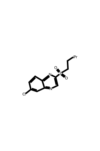 CC(C)CCS(=O)(=O)c1cnc2cc(Cl)ccc2n1